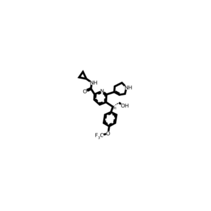 O=C(NC1CC1)c1ccc([C@H](CO)c2ccc(OC(F)(F)F)cc2)c(C2=CCNCC2)n1